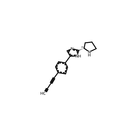 C#CC#Cc1ccc(-c2cnc([C@@H]3CCCN3)[nH]2)cc1